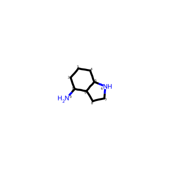 NC1CCCC2NCCC12